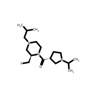 CC(C)CN1CCN(C(=O)[C@@H]2CCN(C(C)C)C2)[C@@H](CF)C1